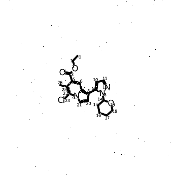 CCOC(=O)c1cc2c(-c3ccnn3C3CCCCO3)ccn2c(Cl)c1C